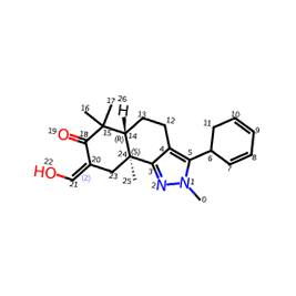 Cn1nc2c(c1C1C=CC=CC1)CC[C@H]1C(C)(C)C(=O)/C(=C\O)C[C@]21C